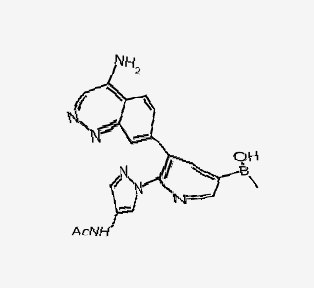 CB(O)c1cnc(-n2cc(NC(C)=O)cn2)c(-c2ccc3c(N)cnnc3c2)c1